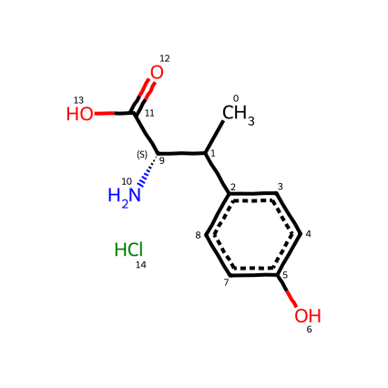 CC(c1ccc(O)cc1)[C@H](N)C(=O)O.Cl